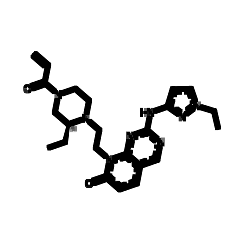 C=CC(=O)N1CCN(CCn2c(=O)ccc3cnc(Nc4ccn(CC)n4)nc32)[C@@H](CC)C1